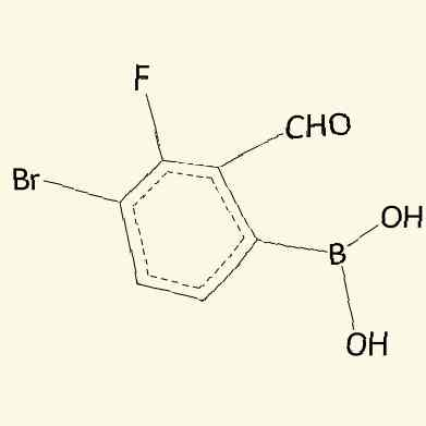 O=Cc1c(B(O)O)ccc(Br)c1F